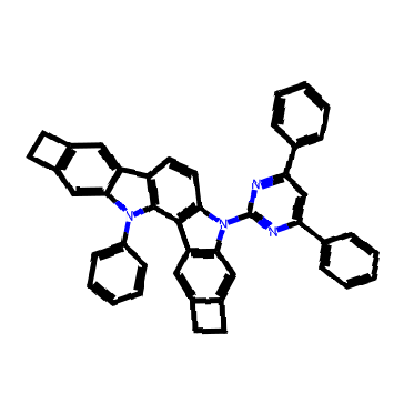 c1ccc(-c2cc(-c3ccccc3)nc(-n3c4cc5c(cc4c4c3ccc3c6cc7c(cc6n(-c6ccccc6)c34)CC7)CC5)n2)cc1